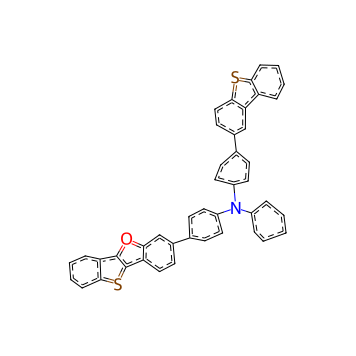 c1ccc(N(c2ccc(-c3ccc4c(c3)oc3c5ccccc5sc43)cc2)c2ccc(-c3ccc4sc5ccccc5c4c3)cc2)cc1